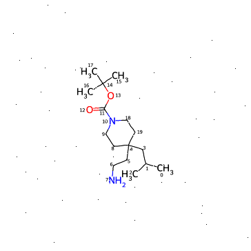 CC(C)CC1(CCN)CCN(C(=O)OC(C)(C)C)CC1